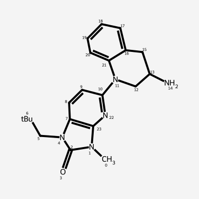 Cn1c(=O)n(CC(C)(C)C)c2ccc(N3CC(N)Cc4ccccc43)nc21